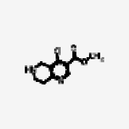 COC(=O)c1cnc2c(c1Cl)CNCC2